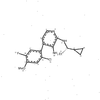 CC[C@H](Nc1nccc(-c2cc(F)c(OC)cc2Cl)c1N)C1CC1